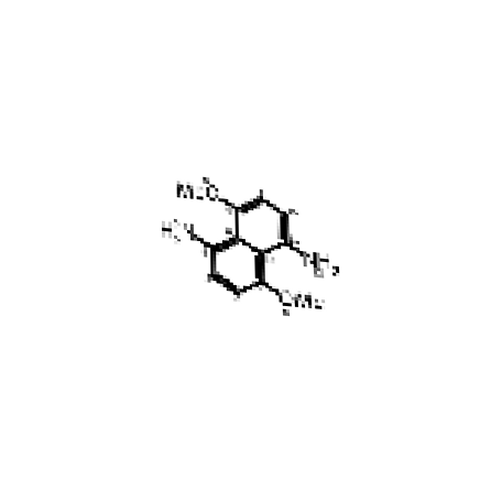 COc1ccc(N)c2c(OC)ccc(N)c12